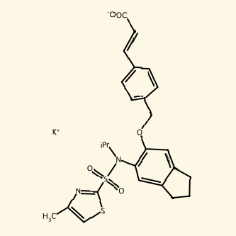 Cc1csc(S(=O)(=O)N(c2cc3c(cc2OCc2ccc(C=CC(=O)[O-])cc2)CCC3)C(C)C)n1.[K+]